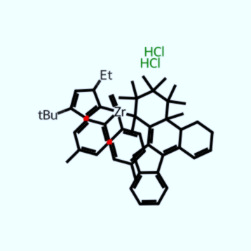 Cl.Cl.[CH2]=[Zr]([C]1=CC(C(C)(C)C)=CC1CC)([c]1ccc(C)cc1)([c]1ccc(C)cc1)[C]1(C)C2=C3Cc4ccccc4C3=C3C=CCCC3C2(C)C(C)(C)C(C)(C)C1(C)C